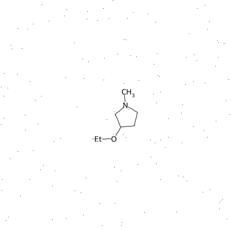 C[CH]OC1CCN(C)C1